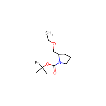 CCC(C)(C)OC(=O)N1CCCC1COC[SiH3]